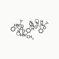 C[C@@H](NC(=O)[C@@H]1CCCN1C(=O)[C@H](NC(=O)C1CC1)c1ccccc1)c1ccc(-c2cnc([C@@H]3CCCN3C(=O)[C@H](NC(=O)C3CC3)c3ccccc3)[nH]2)cc1